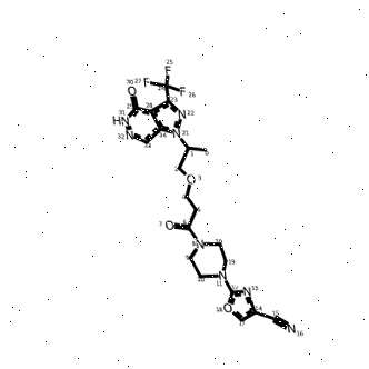 CC(COCCC(=O)N1CCN(c2nc(C#N)co2)CC1)n1nc(C(F)(F)F)c2c(=O)[nH]ncc21